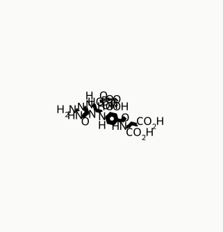 Nc1nc2c(c(=O)[nH]1)N=C(CNc1ccc(C(=O)NC(CCC(=O)O)C(=O)O)cc1)CN2.O=P(O)(O)OP(=O)(O)O